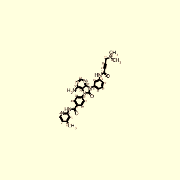 Cc1ccnc(NC(=O)c2ccc(-n3c(=O)n(-c4cccc(NC(=O)C#CCN(C)C)c4)c4ncnc(N)c43)cc2)c1